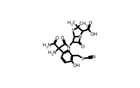 CC1(C)SC2C(NC(=O)C(N)(C(N)=O)c3ccc(O)c(CSC#N)c3)C(=O)N2C1C(=O)O